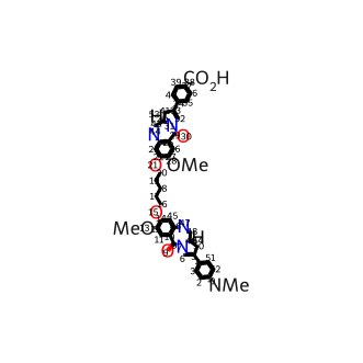 CNc1ccc(C2=CN3C(=O)c4cc(OC)c(OCCCCCOc5cc6c(cc5OC)C(=O)N5C=C(c7ccc(C(=O)O)cc7)C[C@H]5C=N6)cc4N=C[C@@H]3C2)cc1